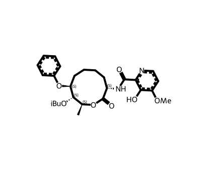 COc1ccnc(C(=O)N[C@H]2CCCC[C@H](Oc3ccccc3)[C@@H](OCC(C)C)[C@H](C)OC2=O)c1O